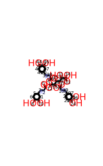 O=C(/C=C/c1ccc(O)c(O)c1)OCC(OC(=O)/C=C/c1ccc(O)c(O)c1)C(CC(O)C(=O)O)OC(=O)/C=C/c1ccc(O)c(O)c1